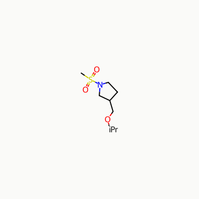 CC(C)OCC1CCN(S(C)(=O)=O)C1